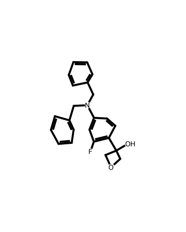 OC1(c2ccc(N(Cc3ccccc3)Cc3ccccc3)cc2F)COC1